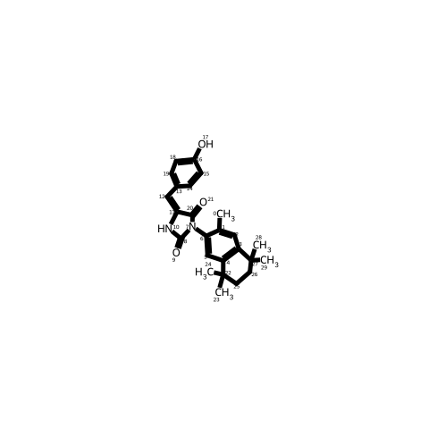 Cc1cc2c(cc1N1C(=O)NC(=Cc3ccc(O)cc3)C1=O)C(C)(C)CCC2(C)C